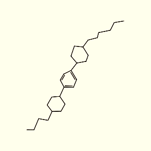 CCCCCCC1CCC(c2ccc(C3CCC(CCCC)CC3)cc2)CC1